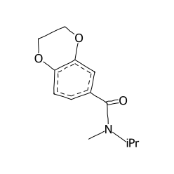 CC(C)N(C)C(=O)c1ccc2c(c1)OCCO2